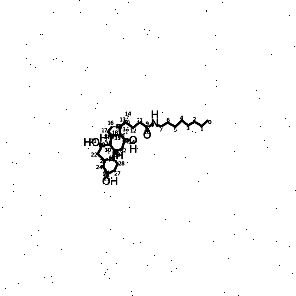 CCCCCCCCNC(=O)CC[C@@H](C)[C@H]1CC[C@H]2C3[C@H](O)CC4C[C@H](O)CC[C@]4(C)[C@H]3C[C@H](O)[C@]12C